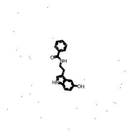 O=C(NCCc1c[nH]c2ccc(O)cc12)c1ccccc1